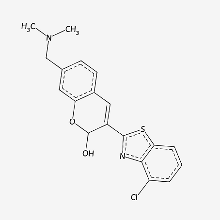 CN(C)Cc1ccc2c(c1)OC(O)C(c1nc3c(Cl)cccc3s1)=C2